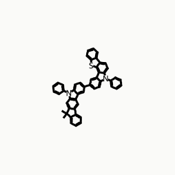 CC1(C)c2ccccc2-c2cc3c4cc(-c5ccc6c(c5)c5c7sc8ccccc8c7ccc5n6-c5ccccc5)ccc4n(-c4ccccc4)c3cc21